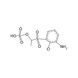 CC(OS(=O)(=O)O)S(=O)(=O)c1cccc(N)c1Cl